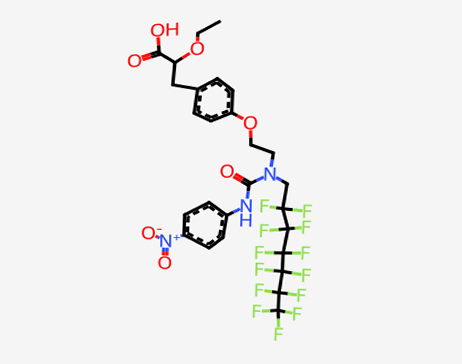 CCOC(Cc1ccc(OCCN(CC(F)(F)C(F)(F)C(F)(F)C(F)(F)C(F)(F)C(F)(F)F)C(=O)Nc2ccc([N+](=O)[O-])cc2)cc1)C(=O)O